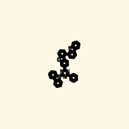 c1ccc(-c2nc(-c3ccc4c(c3)oc3cccc(-c5cccc6c5sc5ccccc56)c34)nc(-n3c4ccccc4c4ccccc43)n2)cc1